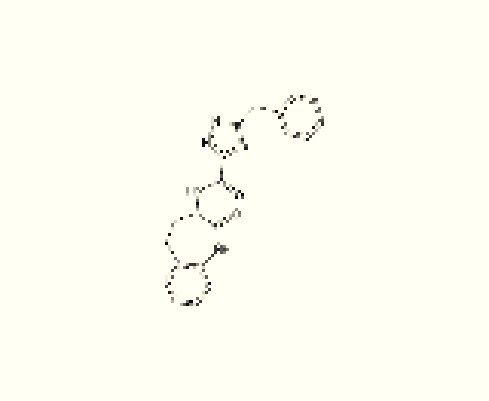 O=C(NC1CCc2ccccc2NC1=O)c1nnc(Cc2ccccc2)o1